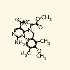 COC(=O)[C@H](C)N(Cc1ncc(C)c(OC)c1C)c1nc(N)ncc1[N+](=O)[O-]